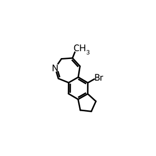 CC1=Cc2c(cc3c(c2Br)CCC3)C=NC1